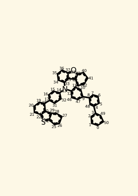 c1ccc(-c2cccc(-c3ccc(N(c4ccc(-c5cccc6sc7ccccc7c56)cc4)c4cccc5oc6ccccc6c45)cc3)c2)cc1